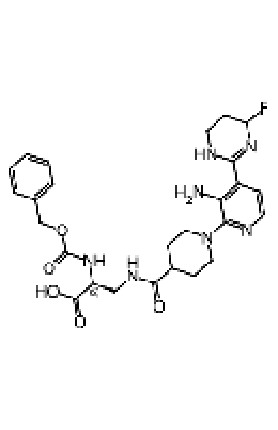 Nc1c(C2=NC(F)CCN2)ccnc1N1CCC(C(=O)NC[C@H](NC(=O)OCc2ccccc2)C(=O)O)CC1